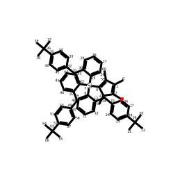 CC1=C(C)C(C)C([Si](c2ccccc2Cc2ccc(C(C)(C)C)cc2)(c2ccccc2Cc2ccc(C(C)(C)C)cc2)c2ccccc2Cc2ccc(C(C)(C)C)cc2)=C1C